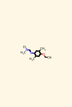 CCN(C)C=Nc1cc(C)c(OCC#N)cc1C